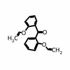 C=COc1ccccc1C(=O)c1ccccc1OC=C